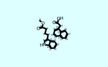 COC(=O)CCCc1c[nH]c2ccccc12.O=C(O)Cc1cccc2ccccc12